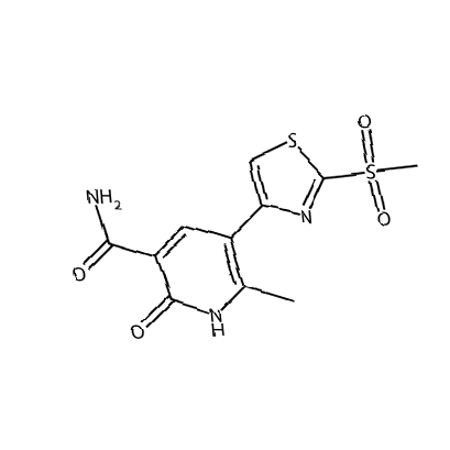 Cc1[nH]c(=O)c(C(N)=O)cc1-c1csc(S(C)(=O)=O)n1